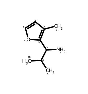 Cc1ccoc1C(N)C(C)C